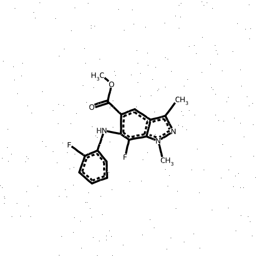 COC(=O)c1cc2c(C)nn(C)c2c(F)c1Nc1ccccc1F